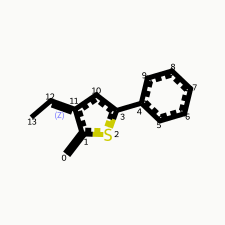 C=c1sc(-c2ccccc2)c/c1=C/C